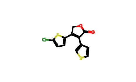 O=C1OCC(c2ccc(Cl)s2)=C1c1ccsc1